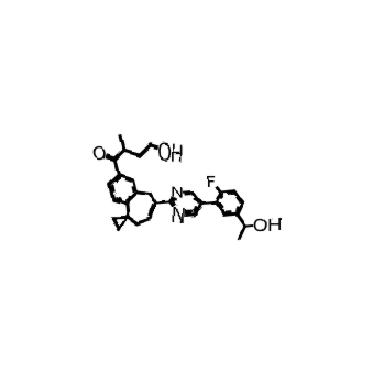 CC(CCO)C(=O)c1ccc2c(c1)CC(c1ncc(-c3cc(C(C)O)ccc3F)cn1)=CCC21CC1